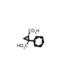 O=C(O)[C@@H]1C[C@@]1(C(=O)O)c1ccccc1